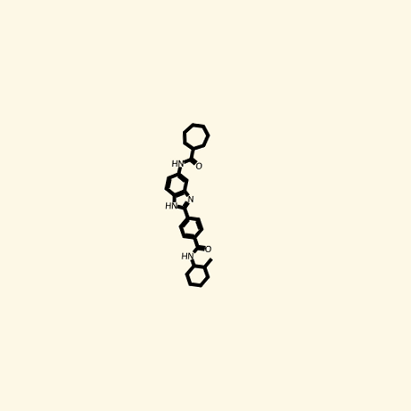 CC1CCCCC1NC(=O)c1ccc(-c2nc3cc(NC(=O)C4CCCCCC4)ccc3[nH]2)cc1